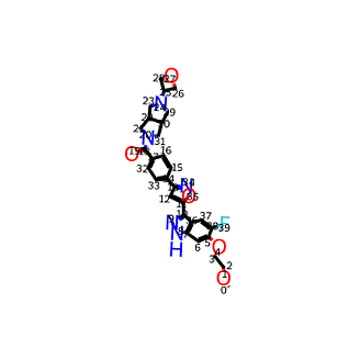 COCCOc1cc2[nH]nc(-c3cc(-c4ccc(C(=O)N5CC6CN(C7COC7)CC6C5)cc4)no3)c2cc1F